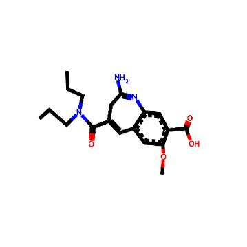 CCCN(CCC)C(=O)C1=Cc2cc(OC)c(C(=O)O)cc2N=C(N)C1